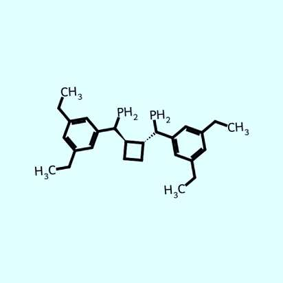 CCc1cc(CC)cc(C(P)[C@@H]2CC[C@H]2C(P)c2cc(CC)cc(CC)c2)c1